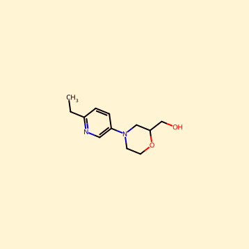 CCc1ccc(N2CCOC(CO)C2)cn1